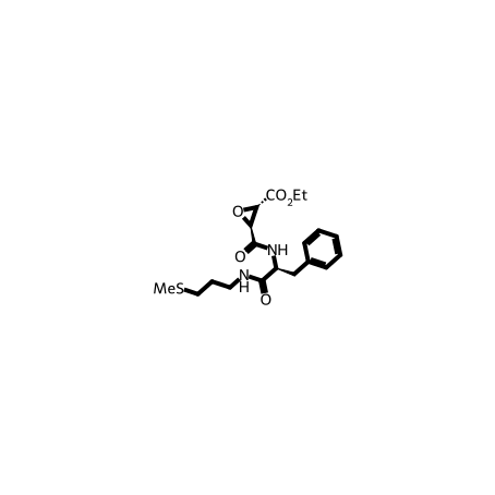 CCOC(=O)[C@H]1O[C@@H]1C(=O)N[C@@H](Cc1ccccc1)C(=O)NCCCSC